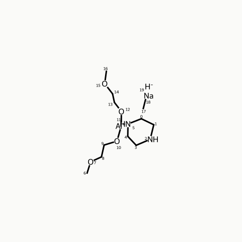 C1CNCCN1.COCC[O][Al+][O]CCOC.[CH3][Na].[H-]